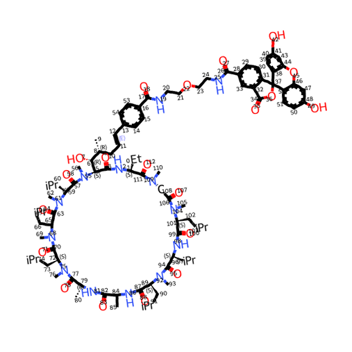 CC[C@@H]1NC(=O)[C@H]([C@H](O)[C@H](C)C/C=C/c2ccc(C(=O)NCCOCCNC(=O)c3ccc4c(c3)C(=O)OC43c4ccc(O)cc4Oc4cc(O)ccc43)cc2)N(C)C(=O)[C@H](C(C)C)N(C)C(=O)C(CC(C)C)N(C)C(=O)[C@H](CC(C)C)N(C)C(=O)[C@@H](C)NC(=O)C(C)NC(=O)[C@H](CC(C)C)N(C)C(=O)[C@H](C(C)C)NC(=O)[C@H](CC(C)C)N(C)C(=O)CN(C)C1=O